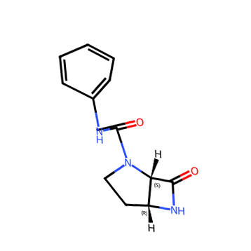 O=C1N[C@@H]2CCN(C(=O)Nc3ccccc3)[C@H]12